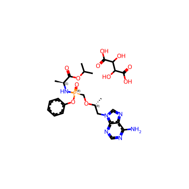 CC(C)OC(=O)[C@H](C)N[P@@](=O)(CO[C@H](C)Cn1cnc2c(N)ncnc21)Oc1ccccc1.O=C(O)C(O)C(O)C(=O)O